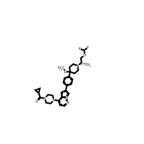 COC1(c2ccc(-c3cc4c(N5CCN(C(=O)C6CC6)CC5)ccnn4c3)cc2)CCN([C@@H](C)COC(F)F)CC1